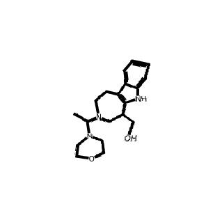 CC(N1CCOCC1)N1CCc2c([nH]c3ccccc23)C(CO)C1